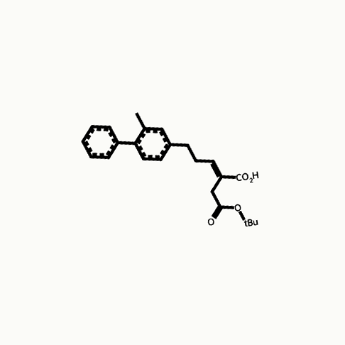 Cc1cc(CCC=C(CC(=O)OC(C)(C)C)C(=O)O)ccc1-c1ccccc1